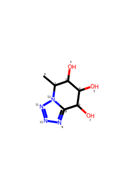 CC1C(O)C(O)C(O)c2nnnn21